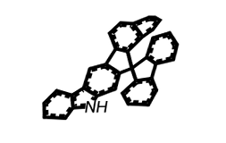 c1ccc2c(c1)-c1ccccc1C21c2cc3[nH]c4ccccc4c3cc2-c2ccc3ccccc3c21